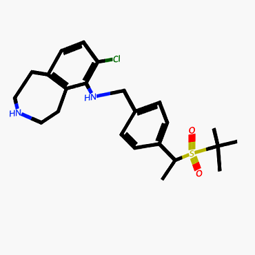 CC(c1ccc(CNc2c(Cl)ccc3c2CCNCC3)cc1)S(=O)(=O)C(C)(C)C